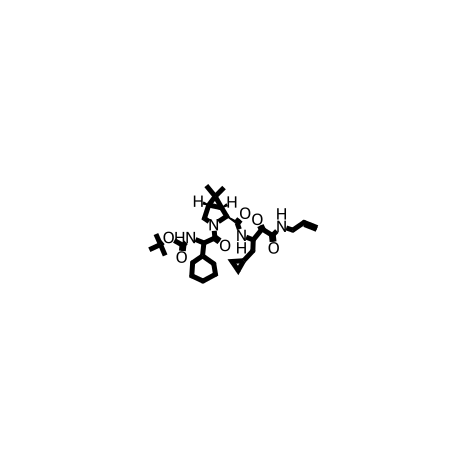 C=CCNC(=O)C(=O)C(CC1CC1)NC(=O)[C@@H]1[C@@H]2[C@H](CN1C(=O)C(NC(=O)OC(C)(C)C)C1CCCCC1)C2(C)C